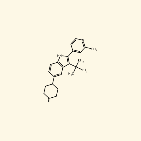 Cc1cc(-c2[nH]c3ccc(C4CCNCC4)cc3c2C(C)(C)C)ccn1